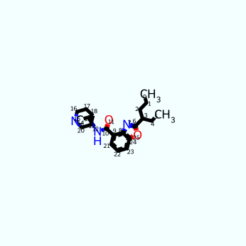 CCCC(CC)c1nc2c(C(=O)NC3CN4CCC3CC4)cccc2o1